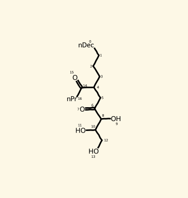 CCCCCCCCCCCCCC(CC(=O)C(O)C(O)CO)C(=O)CCC